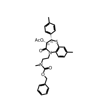 CC(=O)O[C@H]1C(=O)N(CCN(C)C(=O)OCc2ccccc2)c2ccc(C)cc2S[C@H]1c1ccc(C)cc1